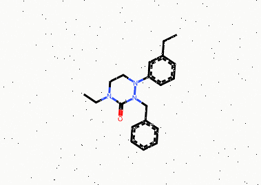 CCc1cccc(N2CCN(CC)C(=O)N2Cc2ccccc2)c1